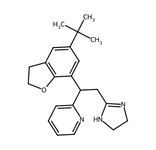 CC(C)(C)c1cc2c(c(C(CC3=NCCN3)c3ccccn3)c1)OCC2